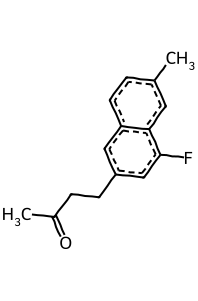 CC(=O)CCc1cc(F)c2cc(C)ccc2c1